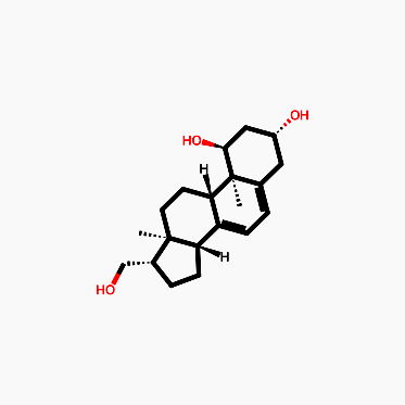 C[C@]12CC[C@H]3C(=CC=C4C[C@@H](O)C[C@H](O)[C@@]43C)[C@@H]1CC[C@@H]2CO